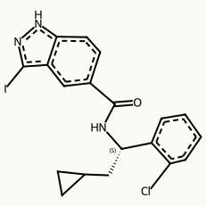 O=C(N[C@@H](CC1CC1)c1ccccc1Cl)c1ccc2[nH]nc(I)c2c1